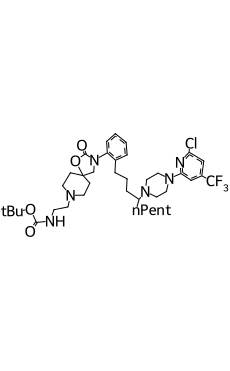 CCCCCC(CCCc1ccccc1N1CC2(CCN(CCNC(=O)OC(C)(C)C)CC2)OC1=O)N1CCN(c2cc(C(F)(F)F)cc(Cl)n2)CC1